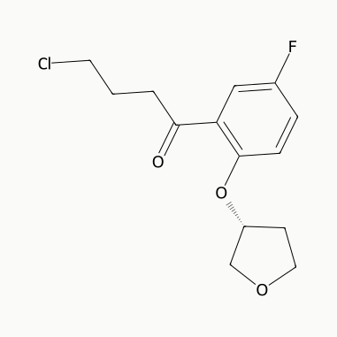 O=C(CCCCl)c1cc(F)ccc1O[C@@H]1CCOC1